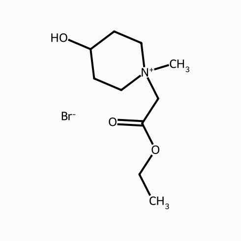 CCOC(=O)C[N+]1(C)CCC(O)CC1.[Br-]